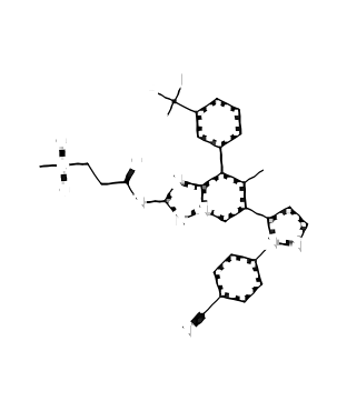 Cc1c(-c2ccnn2-c2ccc(C#N)cc2)cn2nc(NC(=O)CCS(C)(=O)=O)nc2c1-c1cccc(C(F)(F)F)c1